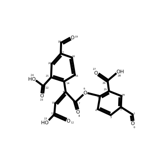 O=Cc1ccc(OC(=O)C(=CC(=O)O)c2ccc(C=O)cc2C(=O)O)c(C(=O)O)c1